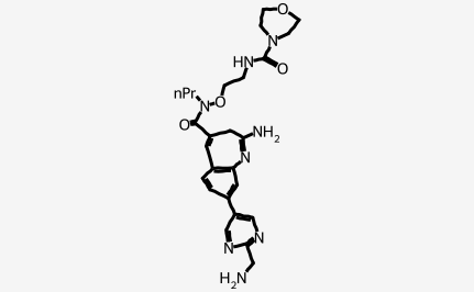 CCCN(OCCNC(=O)N1CCOCC1)C(=O)C1=Cc2ccc(-c3cnc(CN)nc3)cc2N=C(N)C1